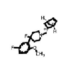 COc1ccc(F)cc1C1(F)CCN(C[C@@H]2C[C@H]3C=C[C@H]2C3)CC1